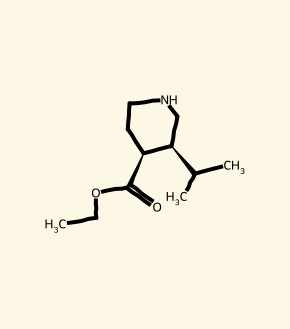 CCOC(=O)[C@H]1CCNC[C@H]1C(C)C